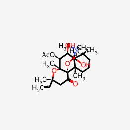 C=C[C@@]1(C)CC(=O)[C@]2(OC(O)N(C)C)[C@@]3(C)CCCC(C)(C)C3[C@H](O)[C@H](OC(C)=O)[C@@]2(C)O1